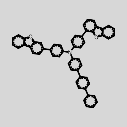 c1ccc(-c2ccc(-c3ccc(N(c4ccc(-c5ccc6c(c5)oc5ccccc56)cc4)c4ccc(-c5cccc6c5oc5ccccc56)cc4)cc3)cc2)cc1